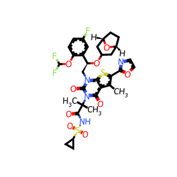 Cc1c(-c2ncco2)sc2c1c(=O)n(C(C)(C)C(=O)NS(=O)(=O)C1CC1)c(=O)n2C[C@H](OC1C[C@H]2CC[C@@H](C1)O2)c1cc(F)ccc1OC(F)F